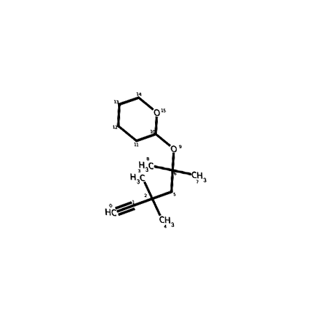 C#CC(C)(C)CC(C)(C)OC1CCCCO1